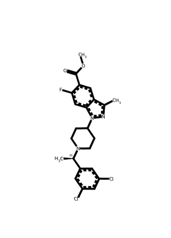 COC(=O)c1cc2c(C)nn(C3CCN([C@H](C)c4cc(Cl)cc(Cl)c4)CC3)c2cc1F